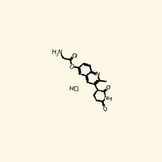 Cc1nc2ccc(OC(=O)CN)cc2cc1C1CCC(=O)NC1=O.Cl